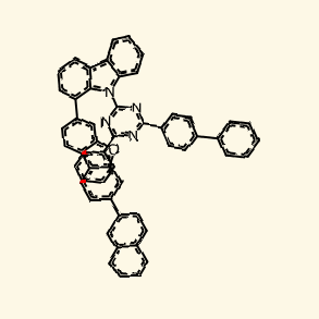 c1ccc(-c2ccc(-c3nc(-c4ccccc4)nc(-n4c5ccccc5c5cccc(-c6ccc7c(c6)oc6cc(-c8ccc9ccccc9c8)ccc67)c54)n3)cc2)cc1